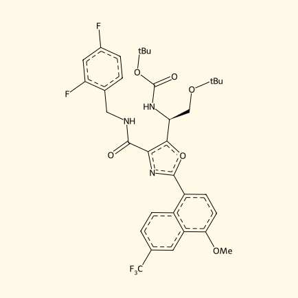 COc1ccc(-c2nc(C(=O)NCc3ccc(F)cc3F)c([C@H](COC(C)(C)C)NC(=O)OC(C)(C)C)o2)c2ccc(C(F)(F)F)cc12